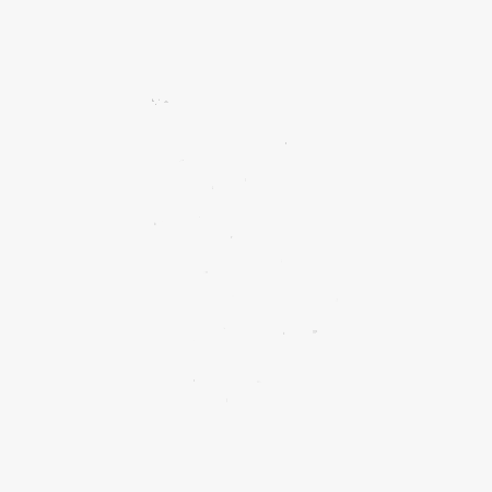 COc1cc(C)cc(C(=O)SCC2c3ccccc3-c3ccccc32)c1